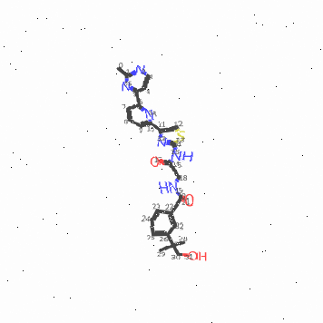 Cc1nccc(-c2cccc(-c3csc(NC(=O)CNC(=O)c4cccc(C(C)(C)CO)c4)n3)n2)n1